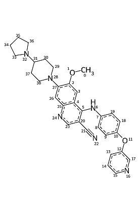 COc1cc2c(Nc3ccc(Oc4cccnc4)cc3)c(C#N)cnc2cc1N1CCC(N2CCCC2)CC1